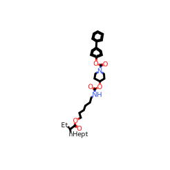 CCCCCCCC(CC)C(=O)OCCCCCCNC(=O)OC1CCN(C(=O)Oc2ccc(-c3ccccc3)cc2)CC1